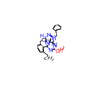 CCc1cccc(CC)c1-c1nc(O)nc(N(N)Cc2ccccc2)n1